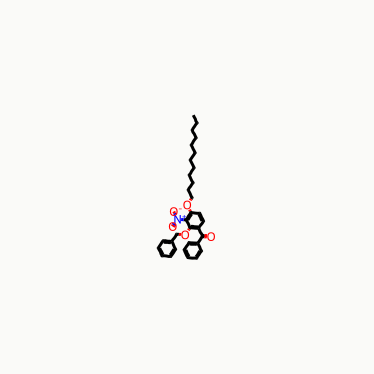 CCCCCCCCCCCCOc1ccc(C(=O)c2ccccc2)c(OCc2ccccc2)c1[N+](=O)[O-]